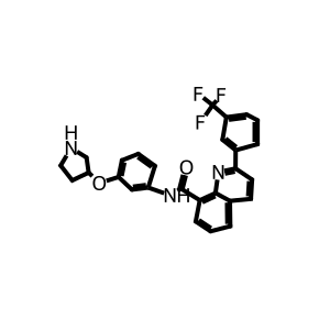 O=C(Nc1cccc(OC2CCNC2)c1)c1cccc2ccc(-c3cccc(C(F)(F)F)c3)nc12